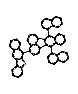 c1ccc2c(-c3c4c(c(-c5cccc6ccccc56)c5ccccc35)-c3ccc(-c5c6ccccc6cc6c5sc5ccccc56)c5cccc-4c35)cccc2c1